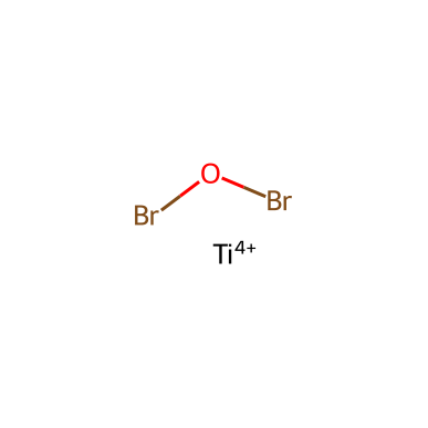 BrOBr.[Ti+4]